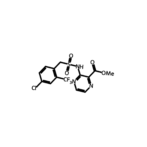 COC(=O)c1nccnc1NS(=O)(=O)Cc1ccc(Cl)cc1C(F)(F)F